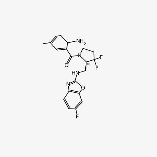 CC1=CCC(N)C(C(=O)N2CCC(F)(F)[C@H]2CNc2nc3ccc(F)cc3o2)=C1